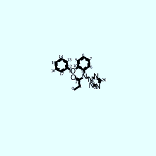 CCC(=O)N(c1ccccc1Oc1ccccc1)n1ncnn1